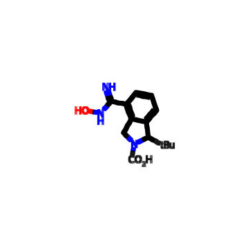 CC(C)(C)C1c2cccc(C(=N)NO)c2CN1C(=O)O